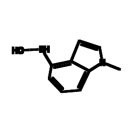 Cn1ccc2c(BO)cccc21